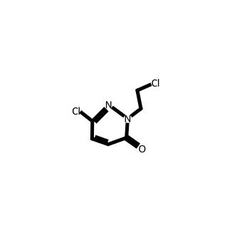 O=c1ccc(Cl)nn1CCCl